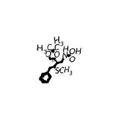 CSC(Cc1ccccc1)C(CNC(=O)O)[C@H]1COC(C)(C)O1